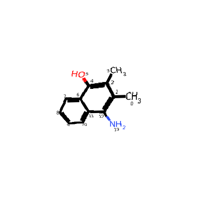 Cc1c(C)c(O)c2ccccc2c1N